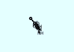 CN/C(=C\C=N)N1CCN2C(=O)N(c3c(F)cc(C#Cc4ccccc4)cc3F)C(=O)CC2(C)C1=O